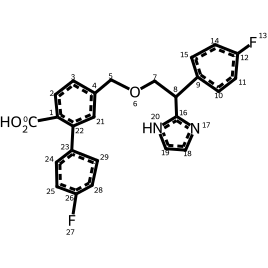 O=C(O)c1ccc(COCC(c2ccc(F)cc2)c2ncc[nH]2)cc1-c1ccc(F)cc1